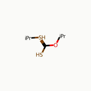 CC(C)OC(S)=[SH]C(C)C